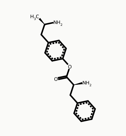 C[C@@H](N)Cc1ccc(OC(=O)[C@@H](N)Cc2ccccc2)cc1